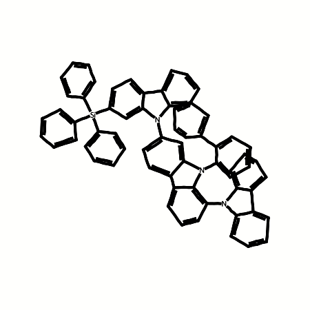 c1ccc(-c2ccccc2-n2c3cc(-n4c5ccccc5c5ccc([Si](c6ccccc6)(c6ccccc6)c6ccccc6)cc54)ccc3c3cccc(-n4c5ccccc5c5ccccc54)c32)cc1